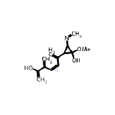 C=NC1C(C(=C)/C=C\C(=C)C(=C)O)C1(O)OC